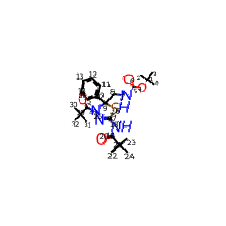 CC(C)(C)OC(=O)NCC1(c2ccccc2)SC(NC(=O)C(C)(C)C)=NN1C(=O)C(C)(C)C